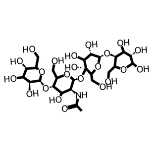 CC(=O)N[C@H]1C(O)[C@H](O[C@@H]2OC(CO)[C@H](O)C(O)[C@@H]2O)C(CO)O[C@H]1O[C@]1(O)C(CO)O[C@@H](O[C@@H]2C(CO)OC(O)[C@@H](O)C2O)[C@@H](O)C1O